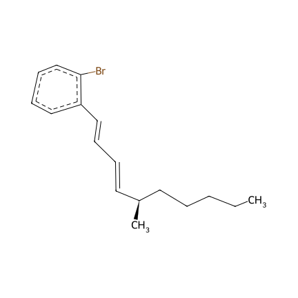 CCCCC[C@@H](C)/C=C/C=C/c1ccccc1Br